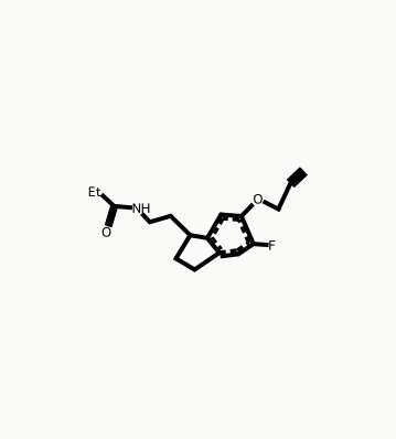 C#CCOc1cc2c(cc1F)CCC2CCNC(=O)CC